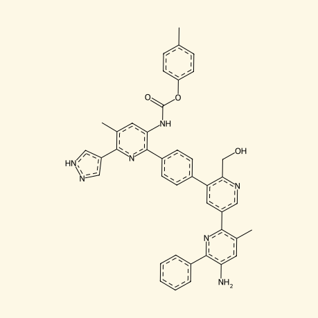 Cc1ccc(OC(=O)Nc2cc(C)c(-c3cn[nH]c3)nc2-c2ccc(-c3cc(-c4nc(-c5ccccc5)c(N)cc4C)cnc3CO)cc2)cc1